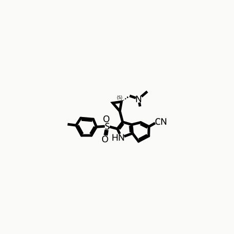 Cc1ccc(S(=O)(=O)c2[nH]c3ccc(C#N)cc3c2C2C[C@@H]2CN(C)C)cc1